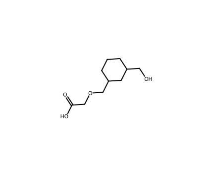 O=C(O)COCC1CCCC(CO)C1